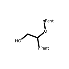 CCCCCOC(CO)CCCCC